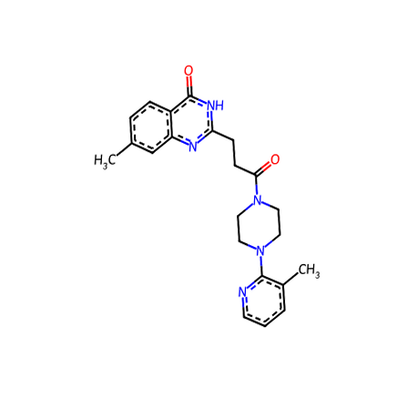 Cc1ccc2c(=O)[nH]c(CCC(=O)N3CCN(c4ncccc4C)CC3)nc2c1